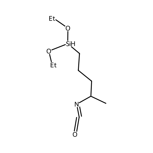 CCO[SiH](CCCC(C)N=C=O)OCC